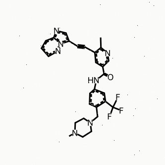 Cc1ncc(C(=O)Nc2ccc(CN3CCN(C)CC3)c(C(F)(F)F)c2)cc1C#Cc1cnc2cccnn12